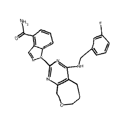 NC(=O)c1cccc2c1cnn2-c1nc2c(c(NCc3cccc(F)c3)n1)CCCOC2